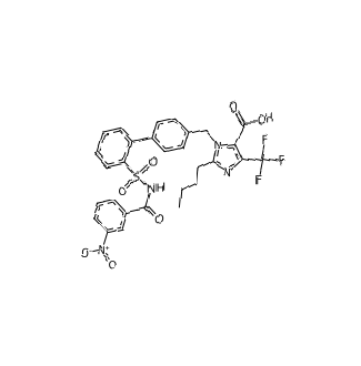 CCCCc1nc(C(F)(F)F)c(C(=O)O)n1Cc1ccc(-c2ccccc2S(=O)(=O)NC(=O)c2cccc([N+](=O)[O-])c2)cc1